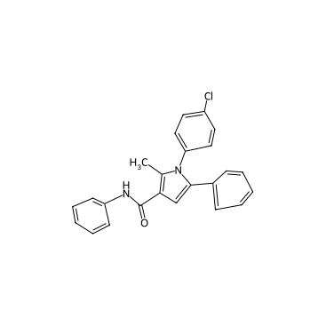 Cc1c(C(=O)Nc2ccccc2)cc(-c2ccccc2)n1-c1ccc(Cl)cc1